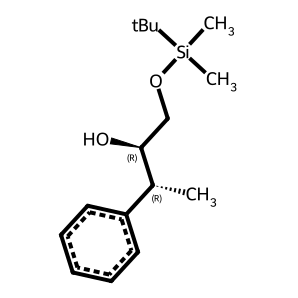 C[C@H](c1ccccc1)[C@@H](O)CO[Si](C)(C)C(C)(C)C